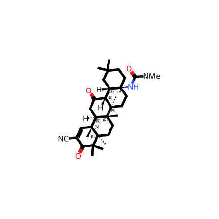 CNC(=O)N[C@]12CCC(C)(C)C[C@H]1[C@H]1C(=O)C[C@@H]3[C@@]4(C)C=C(C#N)C(=O)C(C)(C)[C@]4(C)CC[C@@]3(C)[C@]1(C)CC2